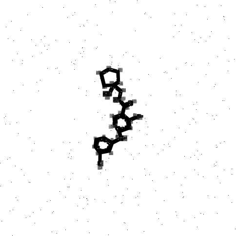 CC(C)c1cc(Nc2cccc(Cl)c2)ncc1C(=O)NCC1(O)CCCCC1